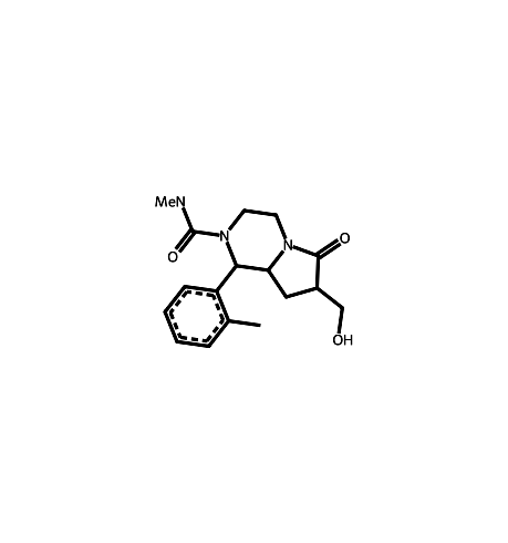 CNC(=O)N1CCN2C(=O)C(CO)CC2C1c1ccccc1C